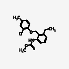 CCc1cccc(NC(=S)OC)c1COc1ccc(C)cc1Cl